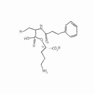 CC(C)CC(NC(=O)CCc1ccccc1)P(=O)(O)O[C@@H](CCCN)C(=O)O